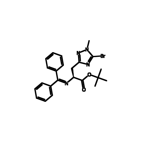 Cn1nc(C[C@H](N=C(c2ccccc2)c2ccccc2)C(=O)OC(C)(C)C)nc1Br